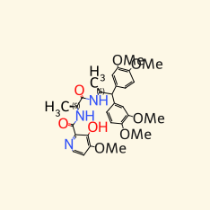 COc1ccc(C(c2ccc(OC)c(OC)c2)[C@H](C)NC(=O)[C@H](C)NC(=O)c2nccc(OC)c2O)cc1OC